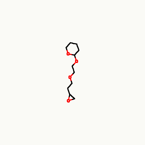 C1CCC(OCCOCCC2CO2)OC1